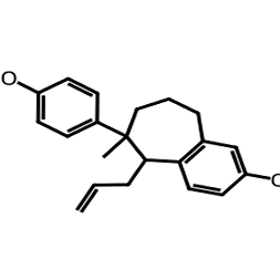 C=CCC1c2ccc(O)cc2CCCC1(C)c1ccc(O)cc1